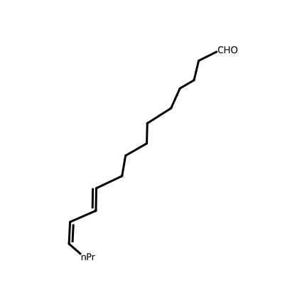 CCC/C=C\C=C\CCCCCCCCC=O